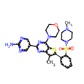 Cc1c(-c2ccccc2S(=O)(=O)N2CCN(C)CC2)sc2c(N3CCOCC3)nc(-c3cnc(N)nc3)nc12